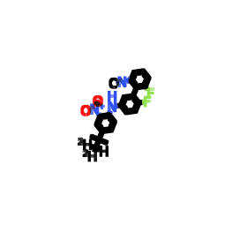 [2H]C([2H])([2H])C(C)(C)c1ccc(Nc2ccc(F)c(-c3c(F)cccc3[N+]#[C-])c2)c([N+](=O)[O-])c1